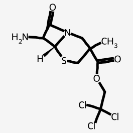 CC1(C(=O)OCC(Cl)(Cl)Cl)CS[C@@H]2C(N)C(=O)N2C1